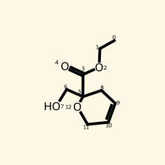 CCOC(=O)C1(CO)CC=CCO1